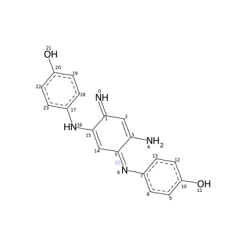 N=C1C=C(N)/C(=N\c2ccc(O)cc2)C=C1Nc1ccc(O)cc1